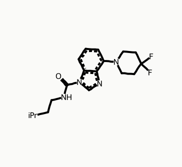 CC(C)CCNC(=O)n1cnc2c(N3CCC(F)(F)CC3)cccc21